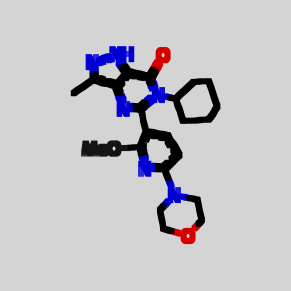 COc1nc(N2CCOCC2)ccc1-c1nc2c(C)n[nH]c2c(=O)n1C1CCCCC1